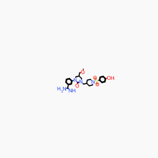 COCC1CN(CC2CCN(S(=O)(=O)c3ccc(O)cc3)CC2)C(=O)N(c2cccc(C(=N)N)c2)C1